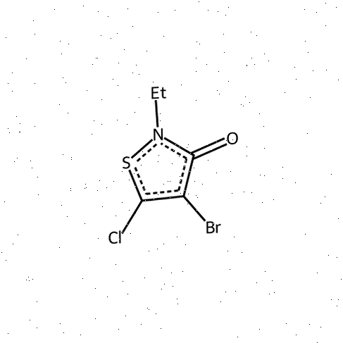 CCn1sc(Cl)c(Br)c1=O